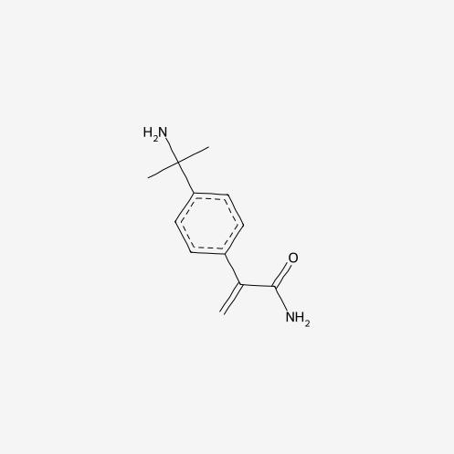 C=C(C(N)=O)c1ccc(C(C)(C)N)cc1